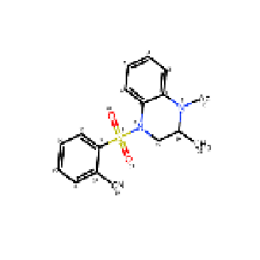 CC(=O)N1c2ccccc2N(S(=O)(=O)c2ccccc2C#N)CC1C